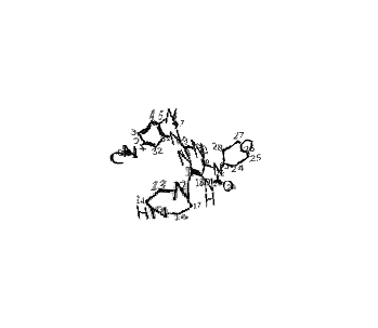 [C-]#[N+]c1ccc2ncn(-c3nc(N4CCNCC4)c4[nH]c(=O)n(C5CCOCC5)c4n3)c2c1